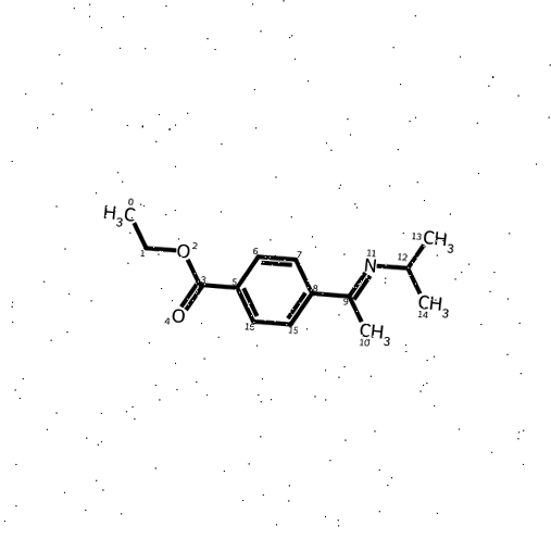 CCOC(=O)c1ccc(C(C)=NC(C)C)cc1